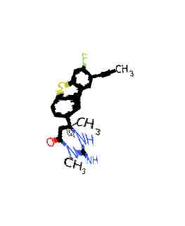 CC#Cc1cc2c(cc1F)sc1ccc([C@]3(C)CC(=O)N(C)C(=N)N3)cc12